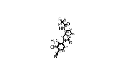 Cc1c(N2CC3[C@H](NC(=O)C(F)(F)F)CCN3C2=O)ccc(C#N)c1Cl